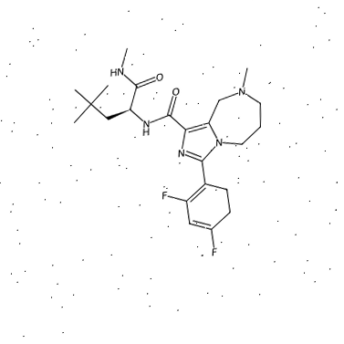 CNC(=O)[C@H](CC(C)(C)C)NC(=O)c1nc(C2=C(F)C=C(F)CC2)n2c1CN(C)CCC2